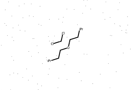 CC(C)CCOCCC(C)C.ClCCl